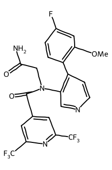 COc1cc(F)ccc1-c1ccncc1N(CC(N)=O)C(=O)c1cc(C(F)(F)F)nc(C(F)(F)F)c1